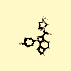 CN1CCN(C(=O)c2nn(-c3ccc(Br)cc3)c3c2CCc2sccc2-3)C1